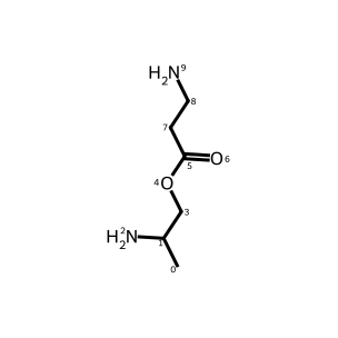 CC(N)COC(=O)CCN